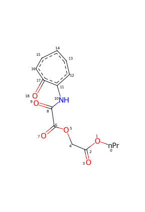 CCCOC(=O)COC(=O)C(=O)Nc1cccccc1=O